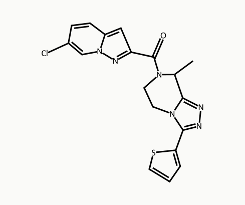 CC1c2nnc(-c3cccs3)n2CCN1C(=O)c1cc2ccc(Cl)cn2n1